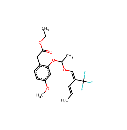 C/C=C/C(=C\OC(C)Oc1cc(OC)ccc1CC(=O)OCC)C(F)(F)F